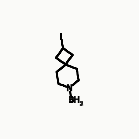 BN1CCC2(CC1)CC(I)C2